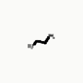 BCCP